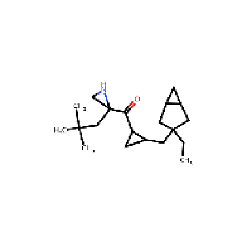 CCC1(CC2CC2C(=O)C2(CC(C)(C)C)CN2)CC2CC2C1